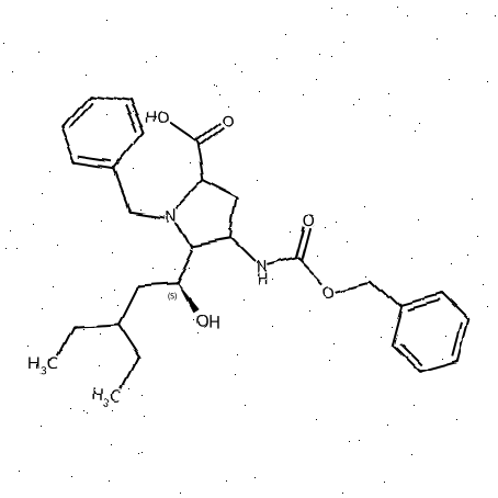 CCC(CC)C[C@H](O)C1C(NC(=O)OCc2ccccc2)CC(C(=O)O)N1Cc1ccccc1